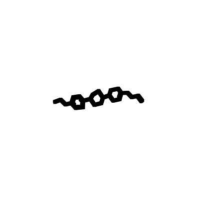 C=CCCC1=CCC(C2CCC(c3ccc(CCC)cc3)CC2)CC1